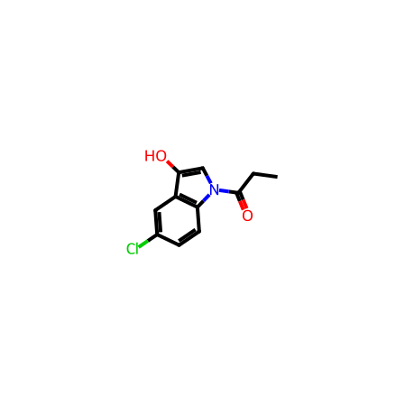 CCC(=O)n1cc(O)c2cc(Cl)ccc21